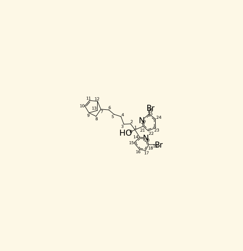 OC(CCCCCC1CC2C=CC1C2)(c1cccc(Br)n1)c1cccc(Br)n1